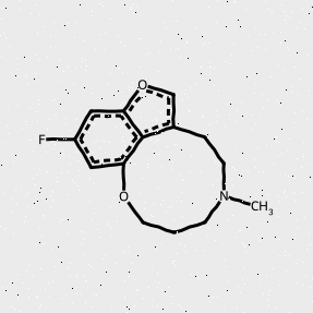 CN1CCCOc2cc(F)cc3occ(c23)CC1